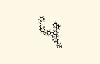 N#CCC(=O)N1CCCC(Nc2nc(-c3cnn4ccccc34)nc(-c3ccc(OC4CCN(CCCN5CCCCC5)CC4)cc3)c2F)C1